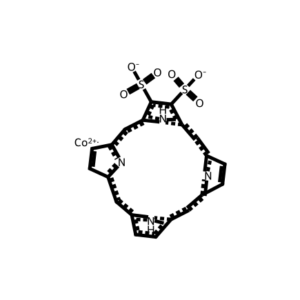 O=S(=O)([O-])c1c(S(=O)(=O)[O-])c2cc3nc(cc4ccc(cc5nc(cc1[nH]2)C=C5)[nH]4)C=C3.[Co+2]